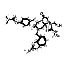 CCCCNC(=O)N(CC#N)N1CC(=O)N2[C@@H](Cc3ccc(OC(=O)N(C)C)cc3)C(=O)N(Cc3cccc4sc(N)nc34)C[C@@H]21